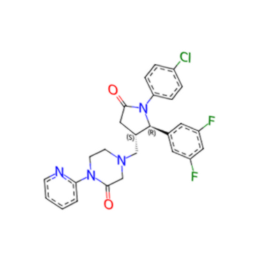 O=C1CN(C[C@@H]2CC(=O)N(c3ccc(Cl)cc3)[C@H]2c2cc(F)cc(F)c2)CCN1c1ccccn1